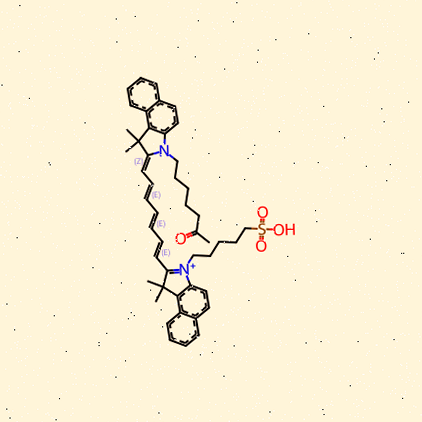 CC(=O)CCCCCN1\C(=C/C=C/C=C/C=C/C2=[N+](CCCCCS(=O)(=O)O)c3ccc4ccccc4c3C2(C)C)C(C)(C)c2c1ccc1ccccc21